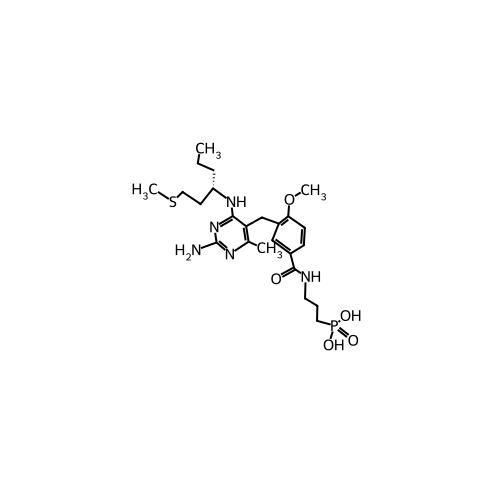 CCC[C@@H](CCSC)Nc1nc(N)nc(C)c1Cc1cc(C(=O)NCCCP(=O)(O)O)ccc1OC